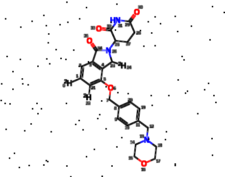 [2H]c1cc2c(c(OCc3ccc(CN4CCOCC4)cc3)c1[2H])C([2H])N(C1CCC(=O)NC1=O)C2=O